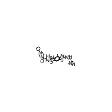 Cc1c2nc(NCCc3cncn3C)sc2cc2sc(NCC(=O)N3CCN(C4CCCC4)CC3)nc12